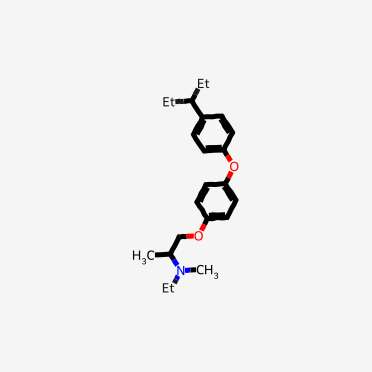 CCC(CC)c1ccc(Oc2ccc(OCC(C)N(C)CC)cc2)cc1